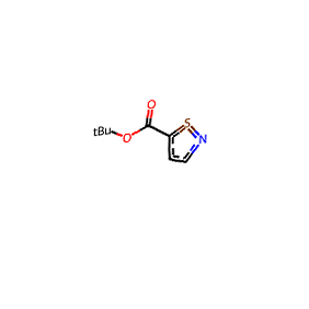 CC(C)(C)OC(=O)c1ccns1